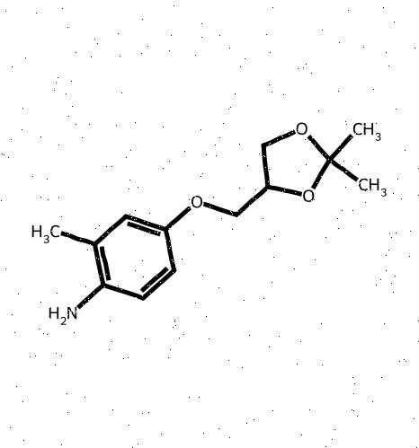 Cc1cc(OCC2COC(C)(C)O2)ccc1N